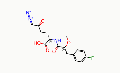 CO[C@@H](Cc1ccc(F)cc1)C(=O)N[C@@H](CCC(=O)C=[N+]=[N-])C(=O)O